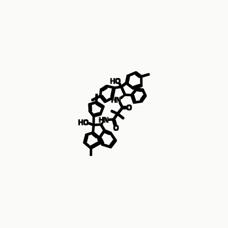 Cc1ccc(C(O)(c2ccc(C)cc2)[C@H](NC(=O)C(C)(C)C(=O)N[C@H](c2ccccc2)C(O)(c2ccc(C)cc2)c2ccc(C)cc2)c2ccccc2)cc1